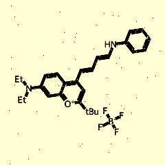 CCN(CC)c1ccc2c(C=CC=CNc3ccccc3)cc(C(C)(C)C)[o+]c2c1.F[B-](F)(F)F